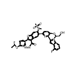 CNC(=O)c1c(-c2ccc(OC(C)F)nc2)oc2cc(N(C)S(C)(=O)=O)c(-c3ccc4c(n3)-c3cc5c(F)cccc5n3C(CO)O4)cc12